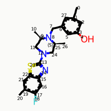 Cc1cc(O)cc(CN2[C@H](C)CN(c3nc4cc(F)c(C)cc4s3)C[C@@H]2C)c1